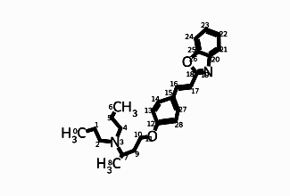 CCCN(CCC)C(C)CCOc1ccc(C=Cc2nc3ccccc3o2)cc1